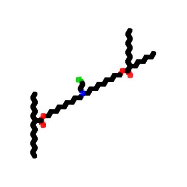 CCCCCCCCC(CCCCCC)C(=O)OCCCCCCCCCN(CCCl)CCCCCCCCCOC(=O)C(CCCCCC)CCCCCCCC